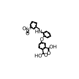 O=C(O)c1ccc(Oc2ccccc2NCc2cccc([N+](=O)[O-])c2)cc1C(=O)O